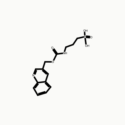 O=C(NCCCP(=O)(O)O)OCc1cnc2ccccc2c1